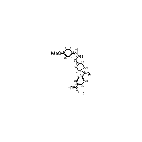 COc1ccc(NC(=O)ON2CCN(C(=O)c3ccc(C(=N)N)cc3)CC2)cc1